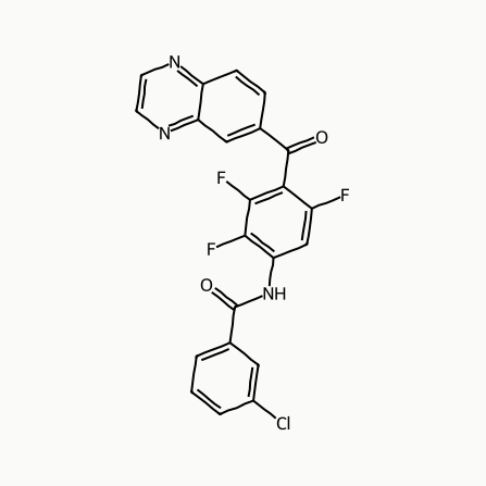 O=C(Nc1cc(F)c(C(=O)c2ccc3nccnc3c2)c(F)c1F)c1cccc(Cl)c1